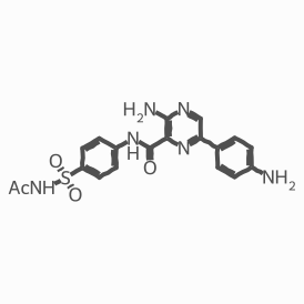 CC(=O)NS(=O)(=O)c1ccc(NC(=O)c2nc(-c3ccc(N)cc3)cnc2N)cc1